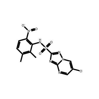 Cc1ccc([N+](=O)[O-])c(NS(=O)(=O)c2nc3ncc(Cl)cn3n2)c1C